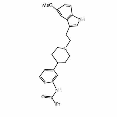 COc1ccc2[nH]cc(CCN3CCC(c4cccc(NC(=O)C(C)C)c4)CC3)c2c1